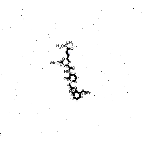 COC(=O)N[C@@H](CC/C=C/C(=O)N(C)C)C(=O)Nc1cccn(Cc2nc3cccc(CC(C)C)c3o2)c1=O